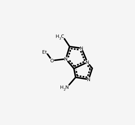 CCOn1c(C)nn2cnc(N)c12